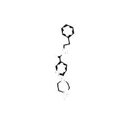 CN1CCN(c2ccc(C(=O)NCCc3ccccc3)cn2)CC1